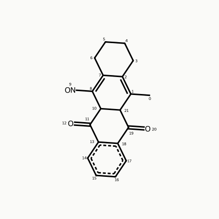 CC1=C2CCCCC2=C(N=O)C2C(=O)c3ccccc3C(=O)C12